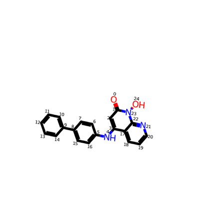 O=c1cc(Nc2ccc(-c3ccccc3)cc2)c2cccnc2n1O